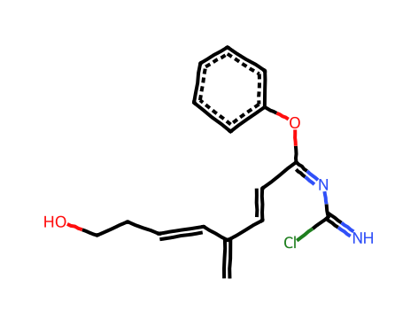 C=C(/C=C/CCO)/C=C/C(=N\C(=N)Cl)Oc1ccccc1